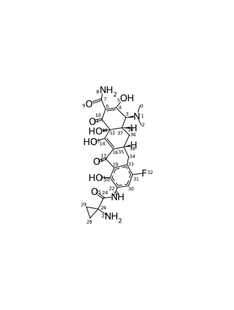 CN(C)[C@@H]1C(O)=C(C(N)=O)C(=O)[C@@]2(O)C(O)=C3C(=O)c4c(O)c(NC(=O)C5(N)CC5)cc(F)c4C[C@H]3C[C@@H]12